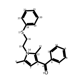 Cc1cc(C(=O)c2ccccc2)c(C)n1CCSc1ccccc1